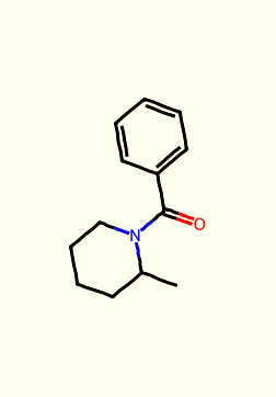 CC1CCCCN1C(=O)c1ccccc1